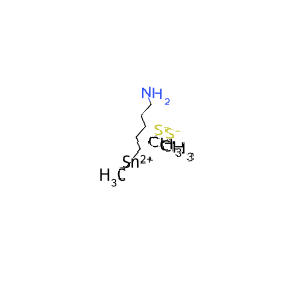 C[S-].C[S-].[CH3][Sn+2][CH2]CCCCN